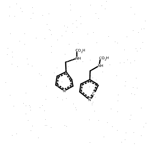 O=C(O)NCc1ccncc1.O=C(O)NCc1ccncc1